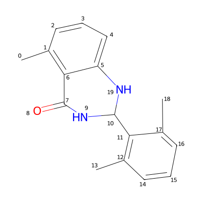 Cc1cccc2c1C(=O)NC(c1c(C)cccc1C)N2